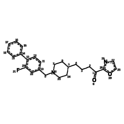 O=C(CCCC1CCN(Cc2ccc(-c3ccccc3)c(F)c2)CC1)c1ncco1